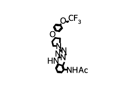 CC(=O)Nc1cccc(Nc2ncnc(N3CCC(Oc4ccc(OCC(F)(F)F)cc4)CC3)n2)c1C